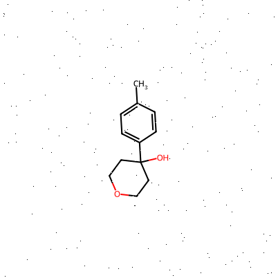 Cc1ccc(C2(O)CCOCC2)cc1